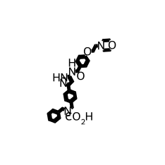 O=C(Nc1cc(-c2ccc(CN(Cc3ccccc3)C(=O)O)cc2)n[nH]1)c1ccc(OCCN2CCOCC2)cc1